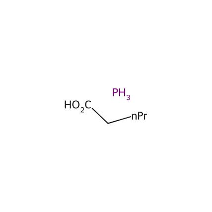 CCCCC(=O)O.P